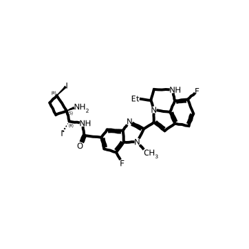 CCC1CNc2c(F)ccc3cc(-c4nc5cc(C(=O)N[C@H](I)[C@]6(N)CC[C@H]6I)cc(F)c5n4C)n1c23